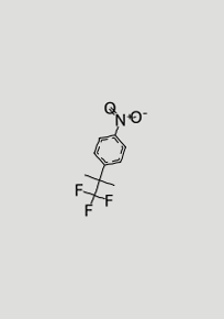 CC(C)(c1ccc([N+](=O)[O-])cc1)C(F)(F)F